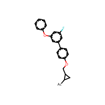 CC(=O)C1CC1COc1ccc(-c2cc(F)cc(Oc3ccccc3)c2)cc1